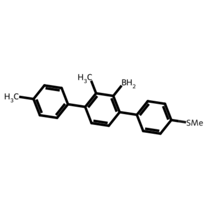 Bc1c(-c2ccc(SC)cc2)ccc(-c2ccc(C)cc2)c1C